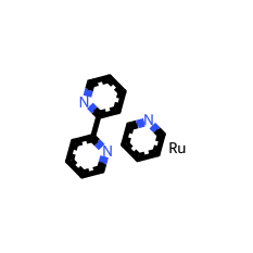 [Ru].c1ccc(-c2ccccn2)nc1.c1ccncc1